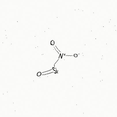 O=[Si][N+](=O)[O-]